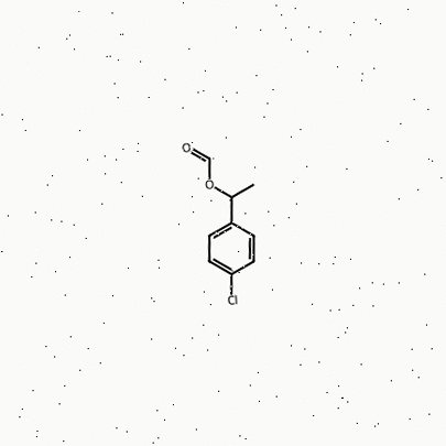 CC(O[C]=O)c1ccc(Cl)cc1